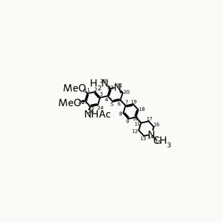 COc1cc(-c2cc(-c3ccc(C4CCN(C)CC4)cc3)cnc2N)cc(NC(C)=O)c1OC